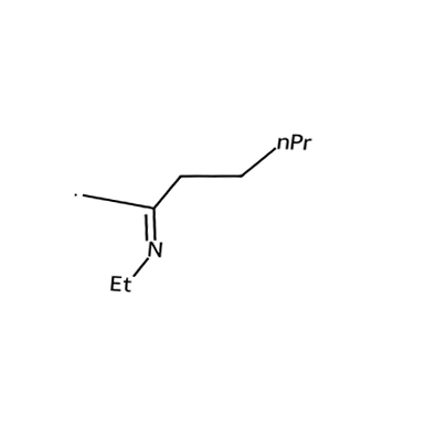 [CH2]C(CCCCC)=NCC